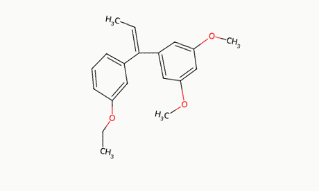 CC=C(c1cc(OC)cc(OC)c1)c1cccc(OCC)c1